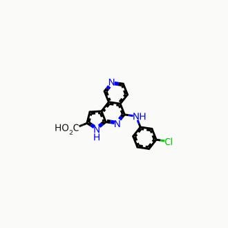 O=C(O)c1cc2c(nc(Nc3cccc(Cl)c3)c3ccncc32)[nH]1